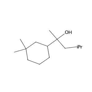 CC(C)CC(C)(O)C1CCCC(C)(C)C1